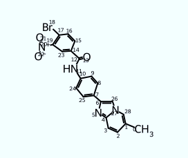 Cc1ccc2nc(-c3ccc(NC(=O)c4ccc(Br)c([N+](=O)[O-])c4)cc3)cn2c1